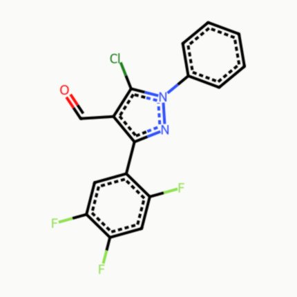 O=Cc1c(-c2cc(F)c(F)cc2F)nn(-c2ccccc2)c1Cl